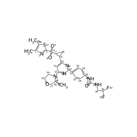 Cc1nc(S(=O)(=O)C2CC2c2cc(N3CCOC[C@@H]3C)nc(-c3ccc(NC(=O)NCC(F)F)cc3)n2)sc1C